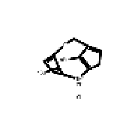 CCCCC1=[C]2CC=C1CCC1=CC[C](=C1CCCC)[Ti+2]2.[Cl-].[Cl-]